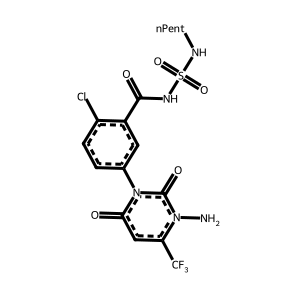 CCCCCNS(=O)(=O)NC(=O)c1cc(-n2c(=O)cc(C(F)(F)F)n(N)c2=O)ccc1Cl